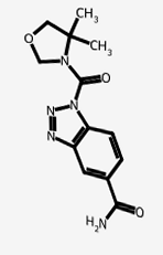 CC1(C)COCN1C(=O)n1nnc2cc(C(N)=O)ccc21